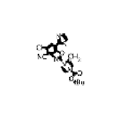 C[C@H]1CN(C(=O)OC(C)(C)C)CCN1c1nc2c(C#N)c(Cl)cc(-c3nccs3)c2o1